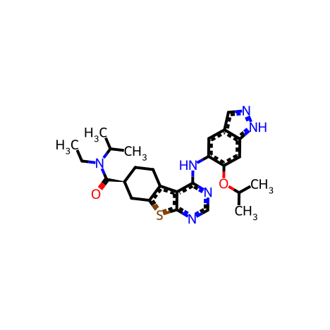 CCN(C(=O)[C@H]1CCc2c(sc3ncnc(Nc4cc5cn[nH]c5cc4OC(C)C)c23)C1)C(C)C